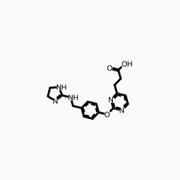 O=C(O)CCc1ccnc(Oc2ccc(CNC3=NCCN3)cc2)n1